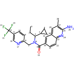 CCC(C1CC1)N(Cc1ccc(C(F)(F)F)cn1)C(=O)c1ccc2nc(N)c(C)cc2c1